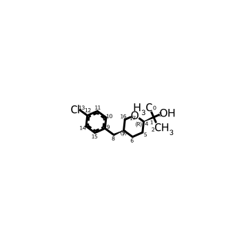 CC(C)(O)[C@H]1CC[C@@H](Cc2ccc(Cl)cc2)CO1